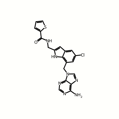 Nc1ncnc2c1ncn2Cc1cc(Cl)cc2cc(CNC(=O)c3cccs3)[nH]c12